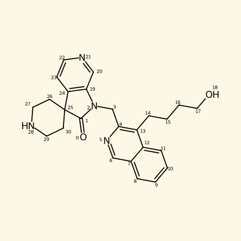 O=C1N(Cc2ncc3ccccc3c2CCCCO)c2cnccc2C12CCNCC2